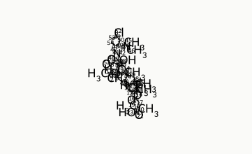 CC(C)C1=C2[C@H]3CC[C@@H]4[C@@]5(C)CC[C@H](OC(=O)CC(C)(C)C(=O)O)C(C)(C)[C@@H]5CC[C@@]4(C)[C@]3(C)CC[C@@]2([C@@H](O)C(=O)N(CCN(C)C)Cc2ccc(Cl)cc2)CC1=O